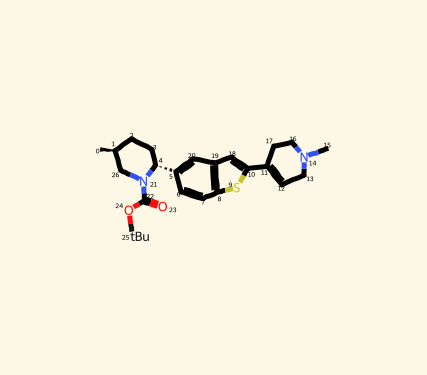 C[C@H]1CC[C@H](c2ccc3sc(C4=CCN(C)CC4)cc3c2)N(C(=O)OC(C)(C)C)C1